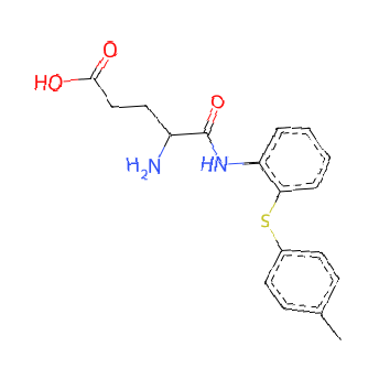 Cc1ccc(Sc2ccccc2NC(=O)C(N)CCC(=O)O)cc1